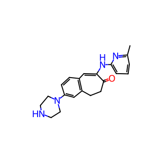 Cc1cccc(NC2=Cc3ccc(N4CCNCC4)cc3CCC2=O)n1